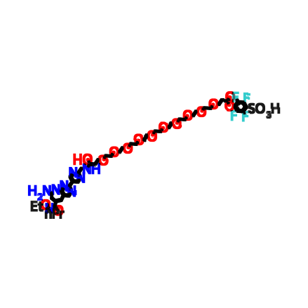 CCCN(OCC)C(=O)C1=Cc2cnc(-c3cnc(CNC(O)CCOCCOCCOCCOCCOCCOCCOCCOCCOCCOCCC(=O)Oc4c(F)c(F)c(S(=O)(=O)O)c(F)c4F)nc3)nc2N=C(N)C1